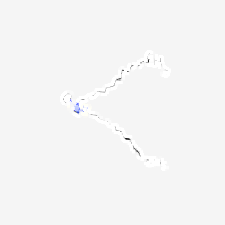 CCCCCCCCCCCCCCCCCc1n(-c2ccccc2)cc[n+]1CCCCCCCCCCCCCCCC